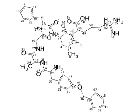 CC(C)CC(NC(=O)C(Cc1ccccc1)NC(=O)CNC(=O)C(C)NC(=O)C(N)Cc1ccc(OCc2ccccc2)cc1)C(=O)NC(CCCNC(=N)N)C(=O)O